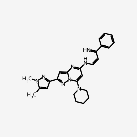 Cc1cc(-c2cc3nc(N/C=C\C(=N)c4ccccc4)cc(N4CCCCC4)n3n2)nn1C